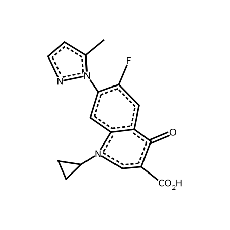 Cc1ccnn1-c1cc2c(cc1F)c(=O)c(C(=O)O)cn2C1CC1